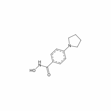 O=C(NO)c1ccc(N2CCCC2)cc1